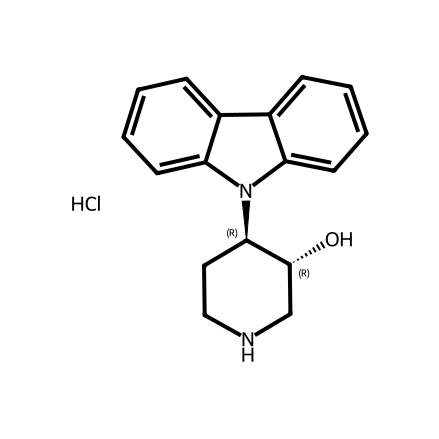 Cl.O[C@@H]1CNCC[C@H]1n1c2ccccc2c2ccccc21